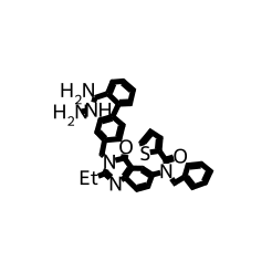 CCc1nc2ccc(N(Cc3ccccc3)C(=O)c3cccs3)cc2c(=O)n1Cc1ccc(-c2ccccc2C(N)NN)cc1